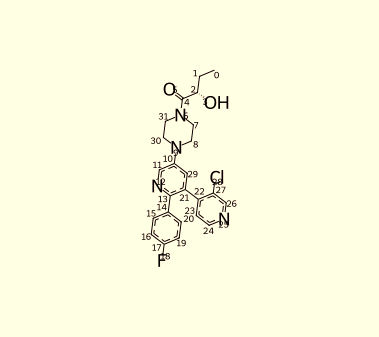 CC[C@H](O)C(=O)N1CCN(c2cnc(-c3ccc(F)cc3)c(-c3ccncc3Cl)c2)CC1